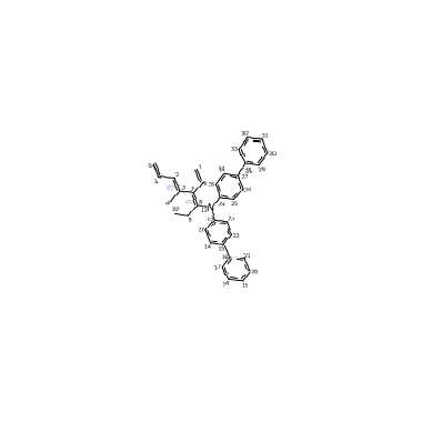 C=C/C=C(C)/C(C=C)=C(\CC)N(c1ccc(-c2ccccc2)cc1)c1ccc(-c2ccccc2)cc1